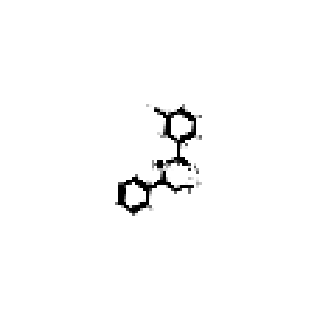 O=C(NC(CO)c1ccccc1)c1cccc(I)c1